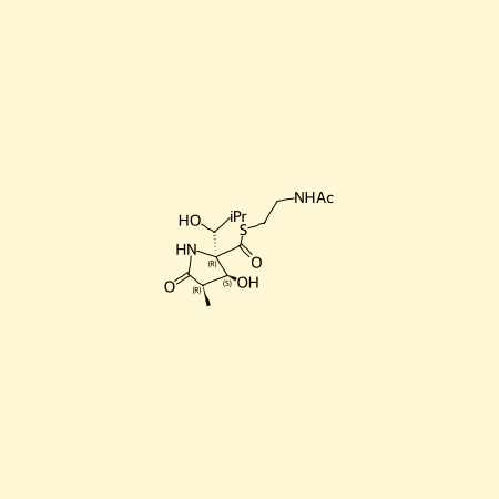 CC(=O)NCCSC(=O)[C@]1(C(O)C(C)C)NC(=O)[C@H](C)[C@@H]1O